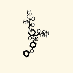 CC(=O)NC(=O)CN1CCC(CC(=O)NO)(S(=O)(=O)c2ccc(Oc3ccccc3)cc2)CC1